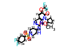 C[C@@]1(O)CCC[C@H]1n1c(=O)c(OC(F)F)cc2cnc(NC3CCN(S(=O)(=O)C4CCC(F)(F)CC4)CC3)nc21